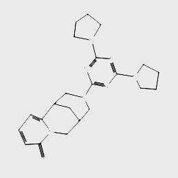 O=c1cccc2n1CC1CC2CN(c2nc(N3CCCC3)nc(N3CCCC3)n2)C1